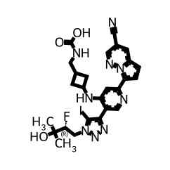 CC(C)(O)[C@H](F)Cn1nnc(-c2cnc(-c3ccc4cc(C#N)cnn34)cc2NC2CC(CNC(=O)O)C2)c1I